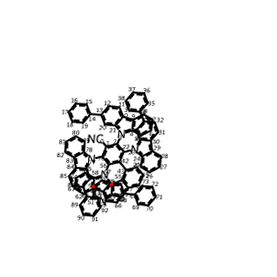 N#Cc1c(-n2c3ccccc3c3ccc(-c4ccccc4)cc32)c(-n2c3ccccc3c3ccc(-c4ccccc4)cc32)c(-c2cccc3sc4ncccc4c23)c(-n2c3ccccc3c3ccc(-c4ccccc4)cc32)c1-n1c2ccccc2c2ccc(-c3ccccc3)cc21